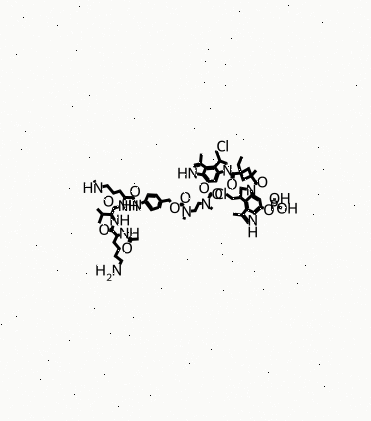 CCC1(C(=O)N2CC(CCl)c3c2cc(OC(=O)N(C)CCN(C)C(=O)OCc2ccc(NC(=O)C(CCCNC)NC(=O)C(NC(=O)C(CCCCN)NC(C)=O)C(C)C)cc2)c2[nH]cc(C)c32)CC(C)(C(=O)N2CC(CCl)c3c2cc(OP(O)O)c2[nH]cc(C)c32)C1